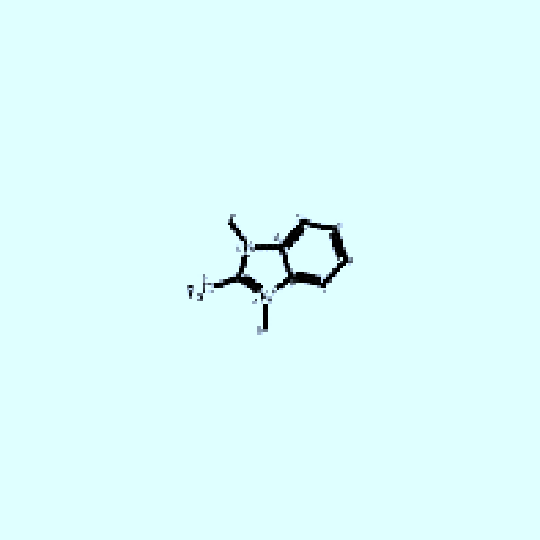 Cn1c(C(F)(F)F)[n+](C)c2ccccc21